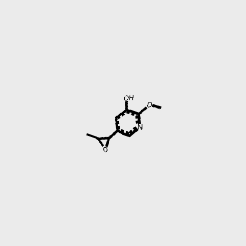 COc1ncc(C2OC2C)cc1O